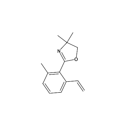 C=Cc1cccc(C)c1C1=NC(C)(C)CO1